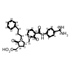 N=C(N)c1ccc(NC(=O)c2cccn(C[C@@H]3C[C@@H](CC(=O)O)C(=O)N3CCCc3ccccc3)c2=O)cc1